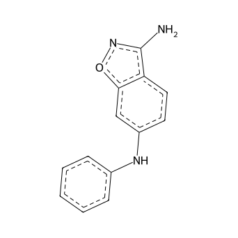 Nc1noc2cc(Nc3ccccc3)ccc12